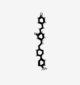 CCCc1ccc(C2CCC(CCc3ccc(CCc4ccc(Cl)cc4)c(F)c3)CC2)cc1